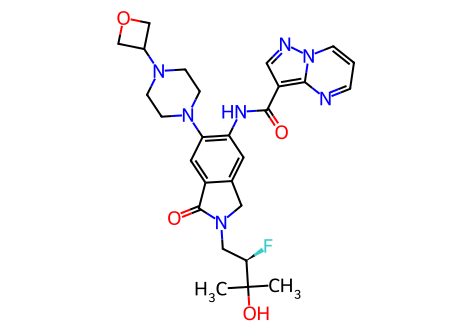 CC(C)(O)[C@H](F)CN1Cc2cc(NC(=O)c3cnn4cccnc34)c(N3CCN(C4COC4)CC3)cc2C1=O